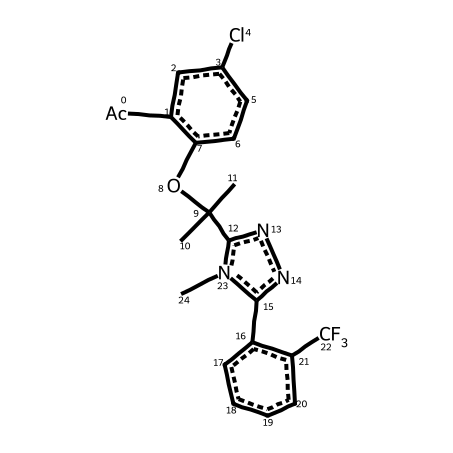 CC(=O)c1cc(Cl)ccc1OC(C)(C)c1nnc(-c2ccccc2C(F)(F)F)n1C